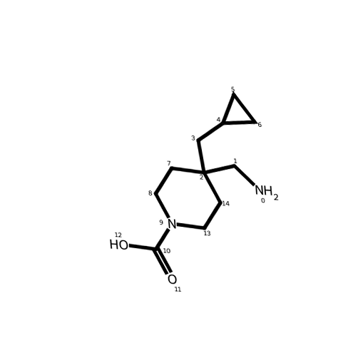 NCC1(CC2CC2)CCN(C(=O)O)CC1